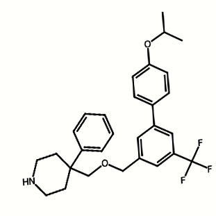 CC(C)Oc1ccc(-c2cc(COCC3(c4ccccc4)CCNCC3)cc(C(F)(F)F)c2)cc1